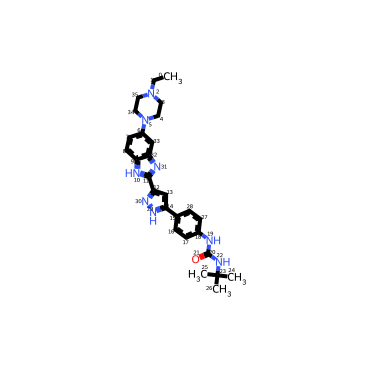 CCN1CCN(c2ccc3[nH]c(-c4cc(-c5ccc(NC(=O)NC(C)(C)C)cc5)[nH]n4)nc3c2)CC1